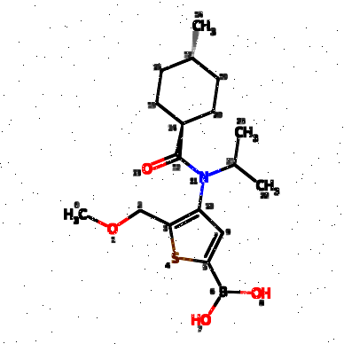 COCc1sc(B(O)O)cc1N(C(=O)[C@H]1CC[C@H](C)CC1)C(C)C